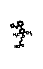 Cc1cc(-c2cccnc2SC2CCC2)cc(C)c1OCCCC(=O)O